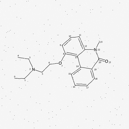 CCN(CC)CCOc1cccc2c1c1ccccc1c(=O)n2C